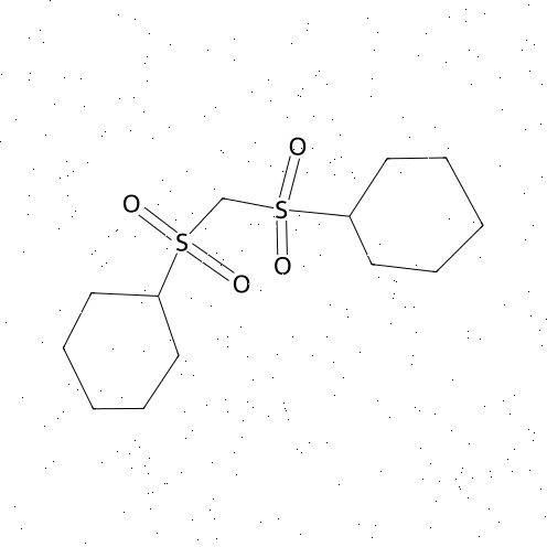 O=S(=O)(CS(=O)(=O)C1CCCCC1)C1CCCCC1